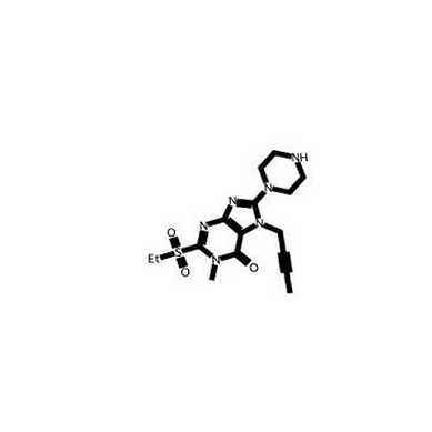 CC#CCn1c(N2CCNCC2)nc2nc(S(=O)(=O)CC)n(C)c(=O)c21